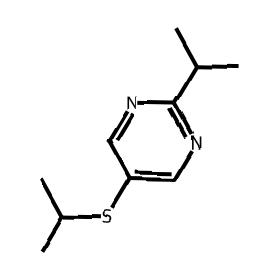 CC(C)Sc1cnc(C(C)C)nc1